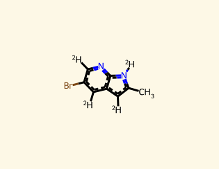 [2H]c1nc2c(c([2H])c1Br)c([2H])c(C)n2[2H]